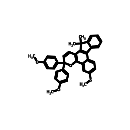 COc1ccc(C2(c3ccc(OC)cc3)C=Cc3c4c(c5ccc(SC)cc5c3O2)-c2ccccc2C4(C)C)cc1